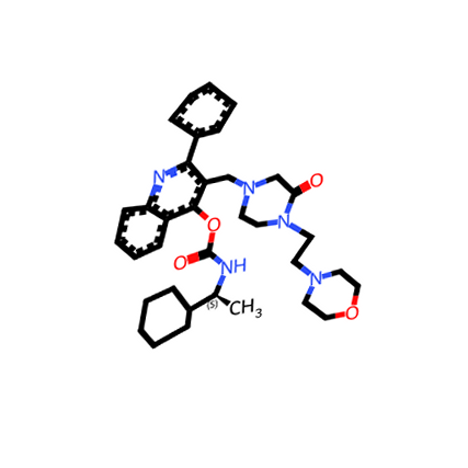 C[C@H](NC(=O)Oc1c(CN2CCN(CCN3CCOCC3)C(=O)C2)c(-c2ccccc2)nc2ccccc12)C1CCCCC1